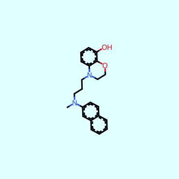 CN(CCCN1CCOc2c(O)cccc21)c1ccc2ccccc2c1